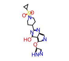 O=S(=O)(C1CC1)N1CCC(c2nc(O)c3c(Oc4cn[nH]c4)cncc3n2)CC1